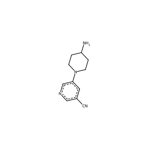 N#Cc1cncc(N2CCC(N)CC2)c1